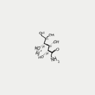 NC(=O)[C@H](O)[C@@H](O)[C@H](O)[C@H](O)CO.[Ag+]